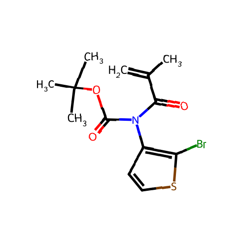 C=C(C)C(=O)N(C(=O)OC(C)(C)C)c1ccsc1Br